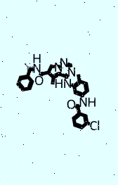 CC1=C2C(Nc3cc(NC(=O)c4cccc(Cl)c4)ccc3C)=NC=NN2CC1C(=O)N[C@@H](C)c1ccccc1